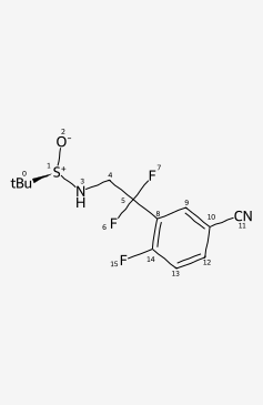 CC(C)(C)[S@@+]([O-])NCC(F)(F)c1cc(C#N)ccc1F